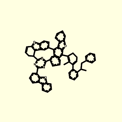 CC1=C(c2ccc(-c3ccc4oc5c(c4c3)C(c3nc(-c4ccccc4)nc(-c4cccc6c4oc4ccccc46)n3)CC=C5)c3c2oc2ccccc23)CCC=C1c1ccccc1C(C)Cc1ccccc1